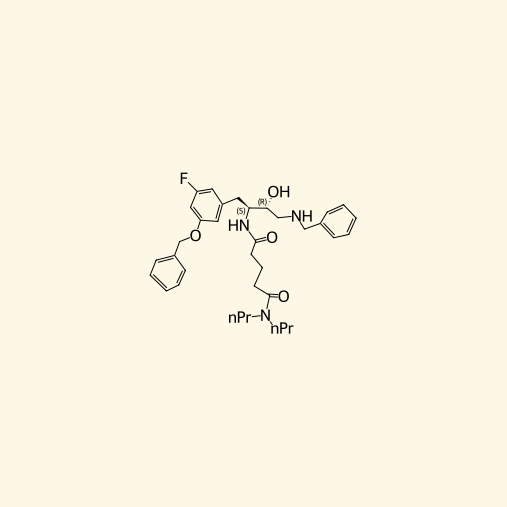 CCCN(CCC)C(=O)CCCC(=O)N[C@@H](Cc1cc(F)cc(OCc2ccccc2)c1)[C@H](O)CNCc1ccccc1